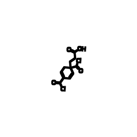 O=C(O)CCC1(C(=O)Cl)C=CC(C(=O)Cl)=CC1